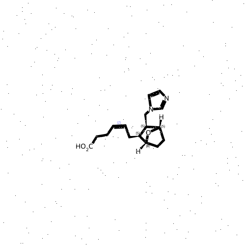 O=C(O)CC/C=C\C[C@H]1[C@@H](Cn2ccnc2)[C@@H]2CC[C@H]1O2